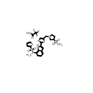 CN(c1cccc2cc(-c3ncc(CN4CCC(S(C)(=O)=O)C4)s3)[nH]c12)S(=O)(=O)c1cccs1.O=C(O)C(F)(F)F